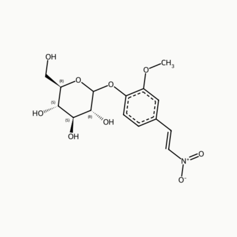 COc1cc(C=C[N+](=O)[O-])ccc1OC1O[C@H](CO)[C@@H](O)[C@H](O)[C@H]1O